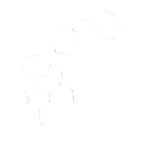 C=C(CC)N(CC1(N2CCN(Cc3ccccc3)CC2)CCOCC1)c1cncc(P)c1